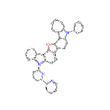 c1ccc(-n2c3ccccc3c3c4oc5c(ccc6c5c5ccccc5n6-c5cccc(-c6ccccn6)n5)c4ccc32)cc1